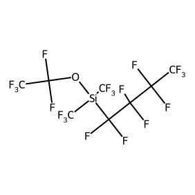 FC(F)(F)C(F)(F)O[Si](C(F)(F)F)(C(F)(F)F)C(F)(F)C(F)(F)C(F)(F)C(F)(F)F